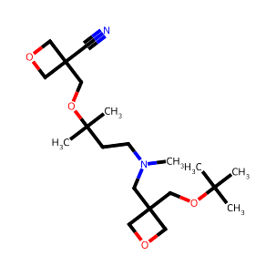 CN(CCC(C)(C)OCC1(C#N)COC1)CC1(COC(C)(C)C)COC1